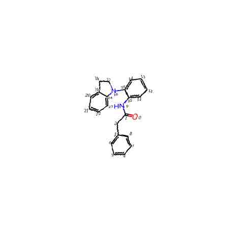 O=C(Cc1ccccc1)Nc1ccccc1N1CCc2ccccc21